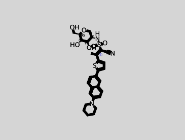 C/C(=C(/C#N)S(=O)(=O)N[C@H]1CO[C@H](CO)[C@@H](O)[C@@H]1O)c1ccc(-c2ccc3cc(N4CCCCC4)ccc3c2)s1